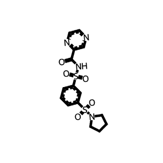 O=C(NS(=O)(=O)c1cccc(S(=O)(=O)N2CCCC2)c1)c1cnccn1